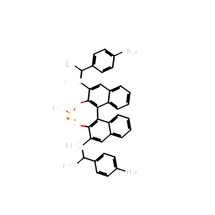 CCCC([SiH2]c1cc2ccccc2c2c1OP(=O)(O)Oc1c([SiH2]C(CC)c3ccc(C(C)(C)C)cc3)cc3ccccc3c1-2)c1ccc(C(C)(C)C)cc1